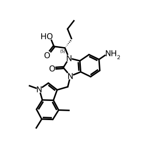 CCC[C@@H](C(=O)O)n1c(=O)n(Cc2cn(C)c3cc(C)cc(C)c23)c2ccc(N)cc21